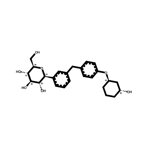 OC[C@H]1O[C@@H](c2cccc(Cc3ccc(O[C@@H]4CCC[C@@H](O)C4)cc3)c2)[C@H](O)[C@@H](O)[C@@H]1O